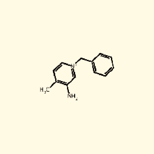 Cc1cc[n+](Cc2ccccc2)cc1N